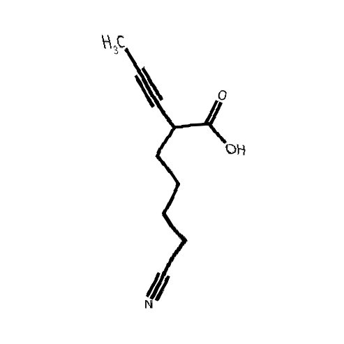 CC#CC(CCCCC#N)C(=O)O